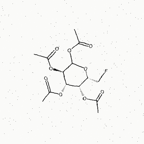 CC(=O)OC1O[C@H](CF)[C@H](OC(C)=O)[C@H](OC(C)=O)[C@H]1OC(C)=O